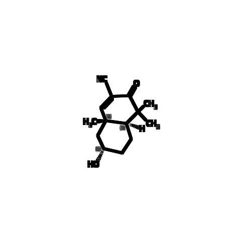 CC1(C)C(=O)C(C#N)=C[C@@]2(C)C[C@@H](O)CC[C@H]12